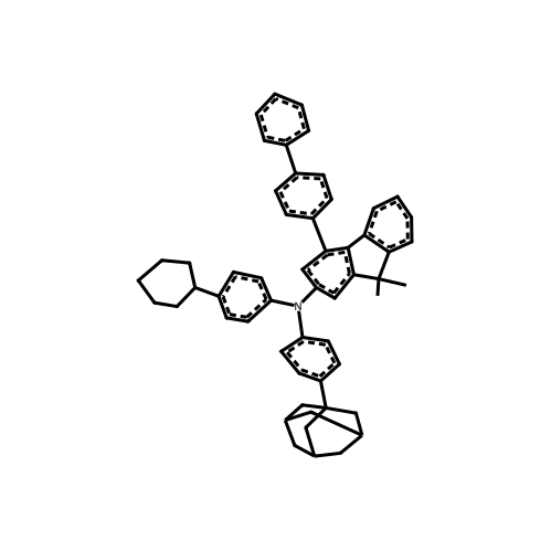 CC1(C)c2ccccc2-c2c(-c3ccc(-c4ccccc4)cc3)cc(N(c3ccc(C4CCCCC4)cc3)c3ccc(C45CC6CC(CC(C6)C4)C5)cc3)cc21